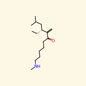 C=C(C(=O)CCCCCNC)[C@H](CC)CC(C)C